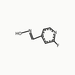 ON=Cc1ccnc(F)c1